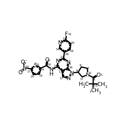 CC(C)(C)C(=O)N1CCC(n2ncc3c(NC(=O)c4ccc([N+](=O)[O-])s4)nc(-c4ccc(F)nc4)nc32)C1